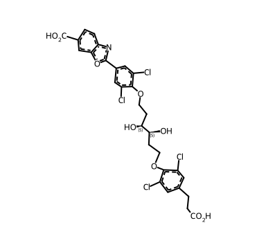 O=C(O)CCc1cc(Cl)c(OCC[C@H](O)[C@@H](O)CCOc2c(Cl)cc(-c3nc4ccc(C(=O)O)cc4o3)cc2Cl)c(Cl)c1